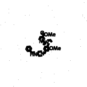 C=C(c1cc(C(=O)OC)ccn1)N(/C=C\C)Cc1ccc(CN2CCC(NCCc3ccccc3)CC2)cc1OC